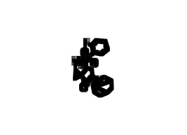 O=C(CCO)C12CC3CC(C1)C(NC(=O)C1(CNS(=O)(=O)c4ccccc4F)CC1)C(C3)C2